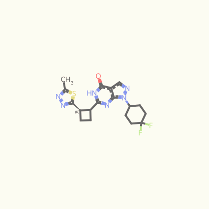 Cc1nnc([C@@H]2CCC2c2nc3c(cnn3C3CCC(F)(F)CC3)c(=O)[nH]2)s1